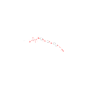 CC(=O)OCC1OCOC2C(COC(=O)c3ccc(OC(=O)c4ccc(OC(=O)c5ccc6cc(OCCOCC7(C)CO7)ccc6c5)cc4)cc3)OCOC12